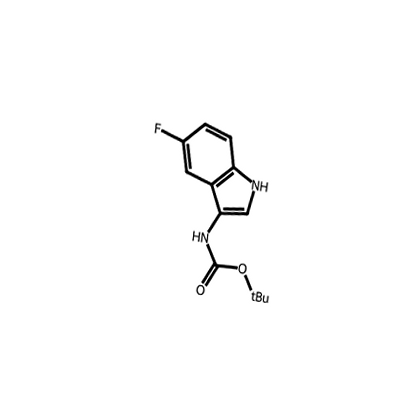 CC(C)(C)OC(=O)Nc1c[nH]c2ccc(F)cc12